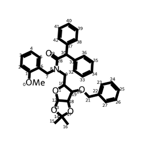 COc1ccccc1CN(CC1OC2OC(C)(C)OC2C1OCc1ccccc1)C(=O)C(c1ccccc1)c1ccccc1